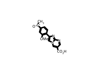 COc1cc([S+](C)[O-])ccc1-c1cn2cc(C(=O)O)cnc2n1